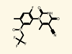 Cc1cc(F)c(-n2c(C)c(C#N)c(=O)[nH]c2=O)cc1[S+]([O-])CC(F)(F)F